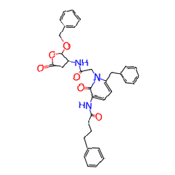 O=C(CCCc1ccccc1)Nc1ccc(Cc2ccccc2)n(CC(=O)NC2CC(=O)OC2OCc2ccccc2)c1=O